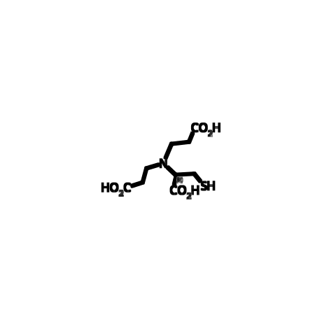 O=C(O)CCN(CCC(=O)O)[C@@H](CS)C(=O)O